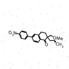 C=CCC1(COC)CCc2cc(-c3ccc([N+](=O)[O-])cc3)ccc2C1=O